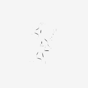 COc1ccc(Oc2cc(NCCC(F)(F)F)c3ncc(-c4ccc(C)c(C)c4)n3n2)c(F)c1F